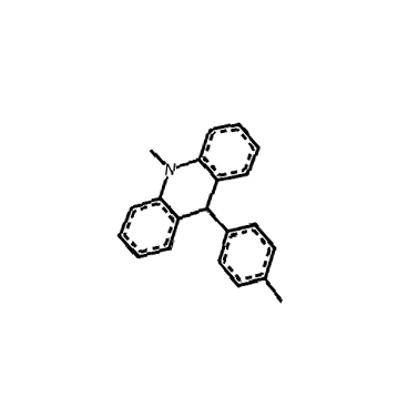 Cc1ccc(C2c3ccccc3N(C)c3ccccc32)cc1